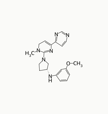 COc1cccc(N[C@@H]2CCN(C3=NC(c4ccncn4)=CCN3C)C2)c1